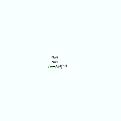 [F][AlH2].[NaH].[NaH].[NaH]